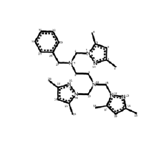 Cc1cc(C)n(CN(CCN(Cn2nc(C)cc2C)Cn2nc(C)cc2C)Cc2ccccc2)n1